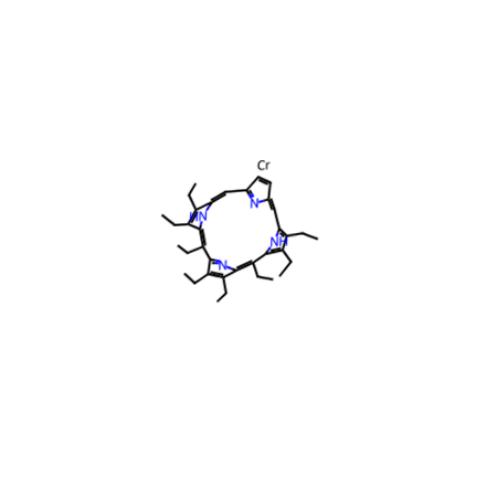 CCC1=C(CC)c2nc1c(CC)c1[nH]c(cc3nc(cc4[nH]c(c2CC)c(CC)c4CC)C=C3)c(CC)c1CC.[Cr]